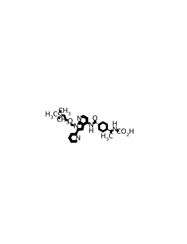 CC(NC(=O)O)[C@H]1CC[C@H](C(=O)Nc2ccnc3c2cc(-c2ccccn2)n3COCC[Si](C)(C)C)CC1